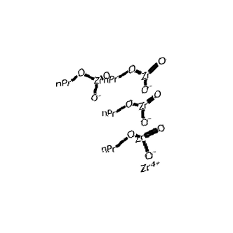 CCC[O][Zr](=[O])[O-].CCC[O][Zr](=[O])[O-].CCC[O][Zr](=[O])[O-].CCC[O][Zr](=[O])[O-].[Zr+4]